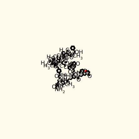 CC[C@H](C)[C@@H]([C@@H](CC(=O)N1CCC[C@H]1[C@H](OC)[C@@H](C)C(=O)N[C@H](C)[C@@H](O)c1ccccc1)OC)N(C)C(=O)[C@@H](NC(=O)[C@H](C(C)C)N(C)C(=O)OCc1ccc(NC(=O)[C@H](CCCNC(N)=O)NC(=O)[C@@H](NC(=O)CCC(CNC(=O)CCC(CN2C(=O)C=CC2=O)N2C(=O)C=CC2=O)NC(=O)CCC(CN2C(=O)C=CC2=O)N2C(=O)C=CC2=O)C(C)C)cc1)C(C)C